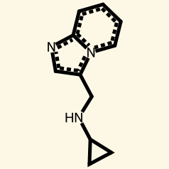 c1ccn2c(CNC3CC3)cnc2c1